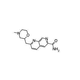 CN1CCOC(Cc2ccc3cc(C(N)=O)ncc3n2)C1